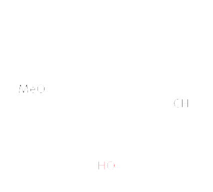 COc1cccc(CC(C)CCO)c1